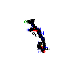 Cc1ncsc1-c1ccc([C@H](C)NC(=O)[C@@H]2C[C@@H](O)CN2C(=O)[C@@H](NCCCCCCCCN2CCN(C3CCC(CNc4ccc(S(=O)(=O)NC(=O)c5ccc(N6CCN(CC7=C(c8ccc(Cl)cc8)CC(C)(C)CC7)CC6)cc5Oc5cnc6[nH]ccc6c5)cc4[N+](=O)[O-])CC3)CC2)C(C)(C)C)cc1